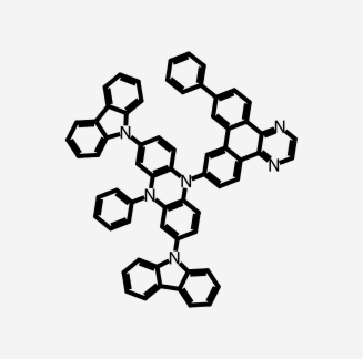 c1ccc(-c2ccc3c(c2)c2cc(N4c5ccc(-n6c7ccccc7c7ccccc76)cc5N(c5ccccc5)c5cc(-n6c7ccccc7c7ccccc76)ccc54)ccc2c2nccnc32)cc1